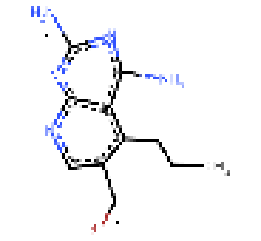 CCCc1c(CBr)cnc2nc(N)nc(N)c12